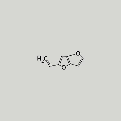 C=Cc1cc2occc2o1